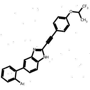 CC(=O)c1ccccc1-c1ccc2[nH]c(C#Cc3ccc(OC(C)C(F)(F)F)cc3)nc2c1